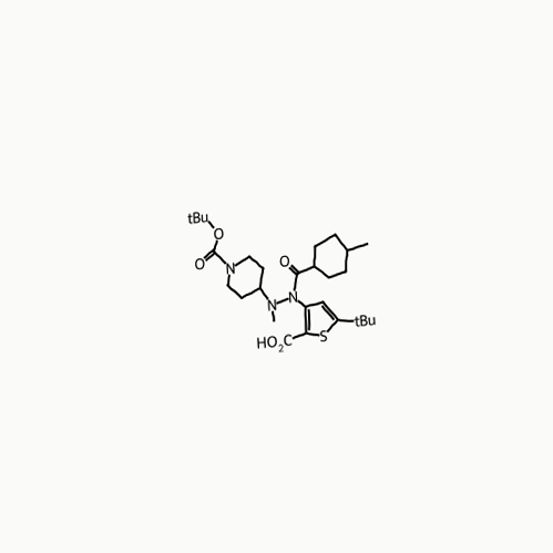 CC1CCC(C(=O)N(c2cc(C(C)(C)C)sc2C(=O)O)N(C)C2CCN(C(=O)OC(C)(C)C)CC2)CC1